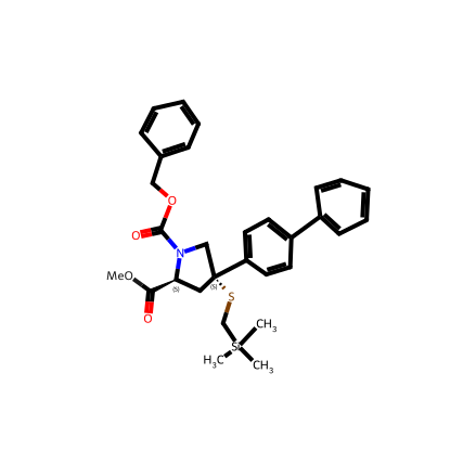 COC(=O)[C@@H]1C[C@](SC[Si](C)(C)C)(c2ccc(-c3ccccc3)cc2)CN1C(=O)OCc1ccccc1